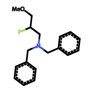 COCC(F)CN(Cc1ccccc1)Cc1ccccc1